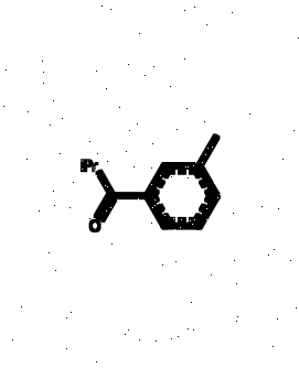 Cc1cccc(C(=O)C(C)C)c1